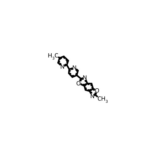 Cc1ccc(-c2ccc(-c3nc4cc5oc(C)nc5cc4o3)cn2)nc1